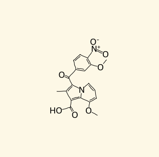 COc1cc(C(=O)c2c(C)c(C(=O)O)c3c(OC)cccn23)ccc1[N+](=O)[O-]